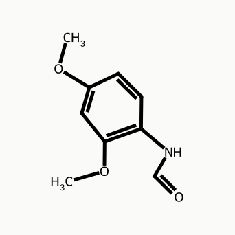 COc1ccc(NC=O)c(OC)c1